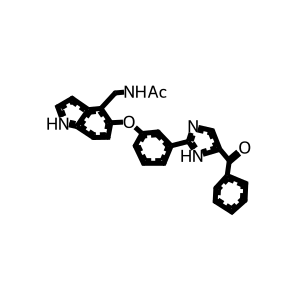 CC(=O)NCc1c(Oc2cccc(-c3ncc(C(=O)c4ccccc4)[nH]3)c2)ccc2[nH]ccc12